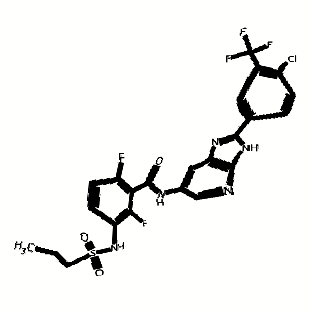 CCCS(=O)(=O)Nc1ccc(F)c(C(=O)Nc2cnc3[nH]c(-c4ccc(Cl)c(C(F)(F)F)c4)nc3c2)c1F